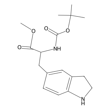 COC(=O)C(Cc1ccc2c(c1)CCN2)NC(=O)OC(C)(C)C